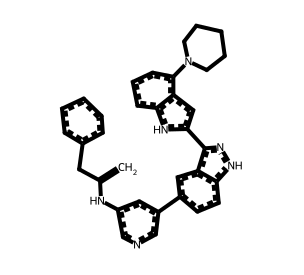 C=C(Cc1ccccc1)Nc1cncc(-c2ccc3[nH]nc(-c4cc5c(N6CCCCC6)cccc5[nH]4)c3c2)c1